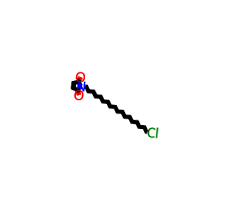 O=C1C=CC(=O)N1CCCCCCCCCCCCCCCCCCCl